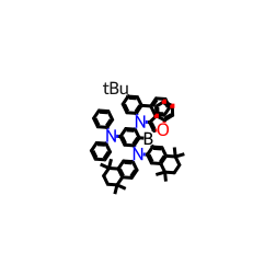 CC(C)(C)c1ccc(N2c3cc(N(c4ccccc4)c4ccccc4)cc4c3B(c3cc5c(cc3N4c3ccc4c(c3)C(C)(C)CCC4(C)C)C(C)(C)CCC5(C)C)c3oc4ccccc4c32)c(-c2ccccc2)c1